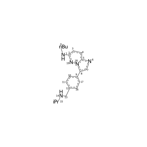 CCCCNc1ccc2ncc(-c3ccc(CNC(C)C)cc3)n2n1